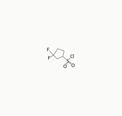 O=S(=O)(Cl)C1CCC(F)(F)C1